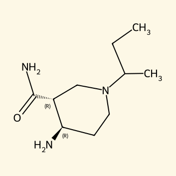 CCC(C)N1CC[C@@H](N)[C@H](C(N)=O)C1